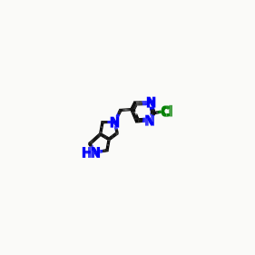 Clc1ncc(CN2CC3CNCC3C2)cn1